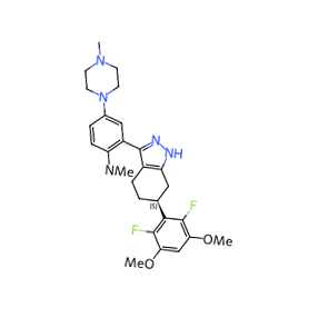 CNc1ccc(N2CCN(C)CC2)cc1-c1n[nH]c2c1CC[C@H](c1c(F)c(OC)cc(OC)c1F)C2